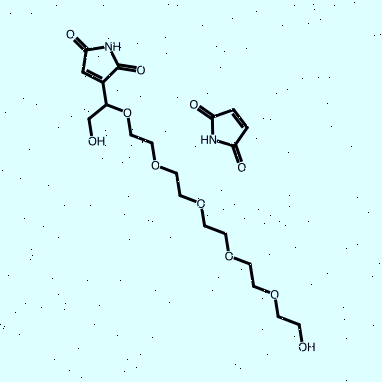 O=C1C=C(C(CO)OCCOCCOCCOCCOCCO)C(=O)N1.O=C1C=CC(=O)N1